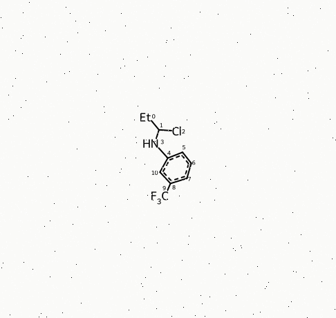 CCC(Cl)Nc1cccc(C(F)(F)F)c1